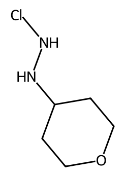 ClNNC1CCOCC1